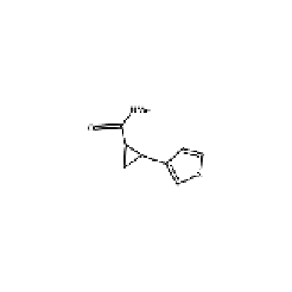 CNC(=O)C1CC1c1ccsc1